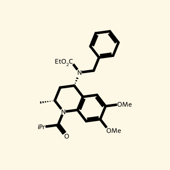 CCOC(=O)N(Cc1ccccc1)[C@H]1C[C@@H](C)N(C(=O)C(C)C)c2cc(OC)c(OC)cc21